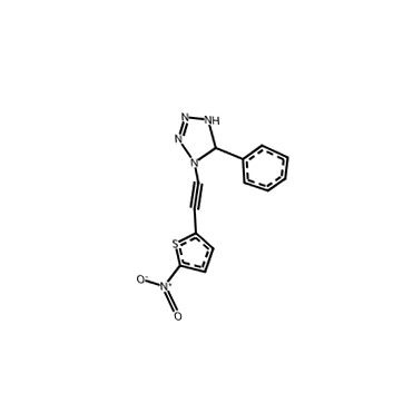 O=[N+]([O-])c1ccc(C#CN2N=NNC2c2ccccc2)s1